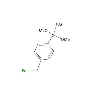 COC(OC)(c1ccc(CBr)cc1)C(C)(C)C